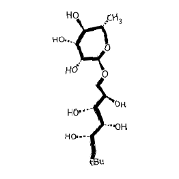 C[C@@H]1O[C@@H](OC[C@@H](O)[C@@H](O)[C@H](O)[C@@H](O)CC(C)(C)C)[C@H](O)[C@H](O)[C@H]1O